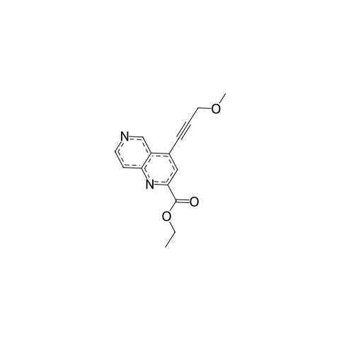 CCOC(=O)c1cc(C#CCOC)c2cnccc2n1